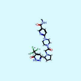 CNC(=O)c1ccc(N2CCN(C(=O)CN3CCCC3c3cc(C(F)(F)F)c(=O)[nH]n3)CC2)nc1